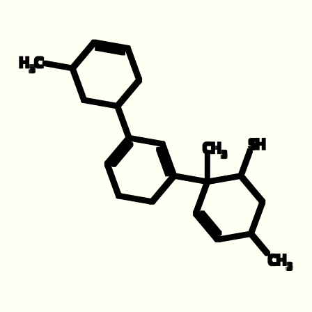 CC1C=CCC(C2=CCCC(C3(C)C=CC(C)CC3S)=C2)C1